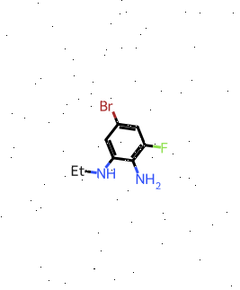 CCNc1cc(Br)cc(F)c1N